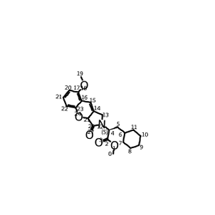 COC(=O)[C@H](CC1CCCCC1)N1CC2=Cc3c(OC)cccc3OC2C1=O